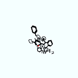 N[C@@H]1CCCC[C@H]1N1C(=O)c2ccccc2C(C(=O)NOCc2ccccc2)C1c1ccc(Cl)cc1Cl